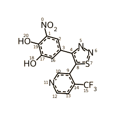 O=[N+]([O-])c1cc(-c2nnsc2-c2cnccc2C(F)(F)F)cc(O)c1O